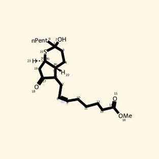 CCCCCC1(O)CC[C@@H]2C(C/C=C\CCCCC(=O)OC)C(=O)C[C@H]2S1